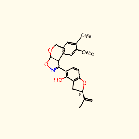 C=C(C)[C@H]1Cc2c(ccc(C3=NOC4OCc5cc(OC)c(OC)cc5C34)c2O)O1